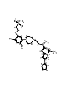 CN(CCN1CCN(c2cc(OCCS(C)(=O)=O)c(F)cc2F)CC1)c1nc(N)n2nc(-c3ccco3)cc2n1